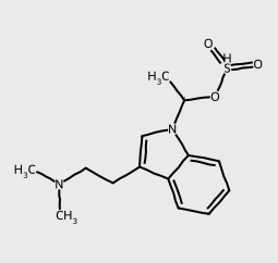 C[C](O[SH](=O)=O)n1cc(CCN(C)C)c2ccccc21